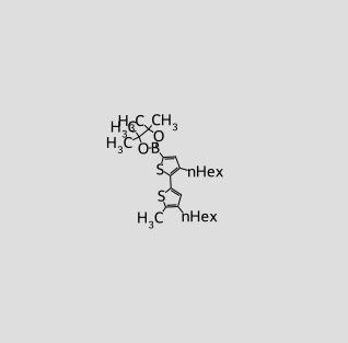 CCCCCCc1cc(-c2sc(B3OC(C)(C)C(C)(C)O3)cc2CCCCCC)sc1C